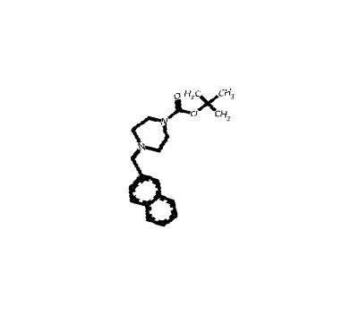 CC(C)(C)OC(=O)N1CCN(Cc2ccc3ccccc3c2)CC1